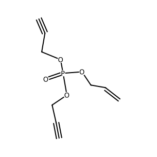 C#CCOP(=O)(OCC#C)OCC=C